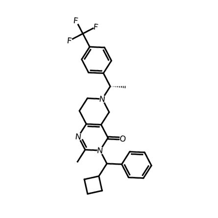 Cc1nc2c(c(=O)n1C(c1ccccc1)C1CCC1)CN([C@@H](C)c1ccc(C(F)(F)F)cc1)CC2